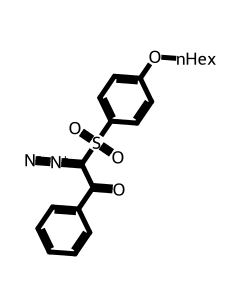 CCCCCCOc1ccc(S(=O)(=O)C(=[N+]=[N-])C(=O)c2ccccc2)cc1